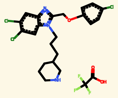 Clc1ccc(OCc2nc3cc(Cl)c(Cl)cc3n2CCCC2CCCNC2)cc1.O=C(O)C(F)(F)F